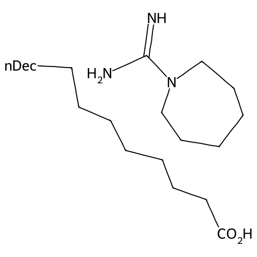 CCCCCCCCCCCCCCCCCC(=O)O.N=C(N)N1CCCCCC1